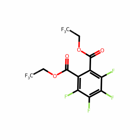 O=C(OCC(F)(F)F)c1c(F)c(F)c(F)c(F)c1C(=O)OCC(F)(F)F